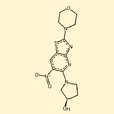 O=[N+]([O-])c1cc2sc(N3CCOCC3)nc2nc1N1CC[C@@H](O)C1